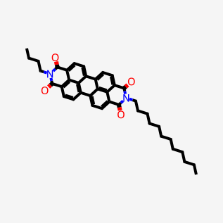 CCCCCCCCCCCCN1C(=O)c2ccc3c4ccc5c6c(ccc(c7ccc(c2c37)C1=O)c64)C(=O)N(CCCC)C5=O